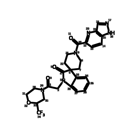 O=C(CN1C(=O)C2(CCN(C(=O)c3ccc4[nH]ncc4n3)CC2)c2ccccc21)N1CCOC(C(F)(F)F)C1